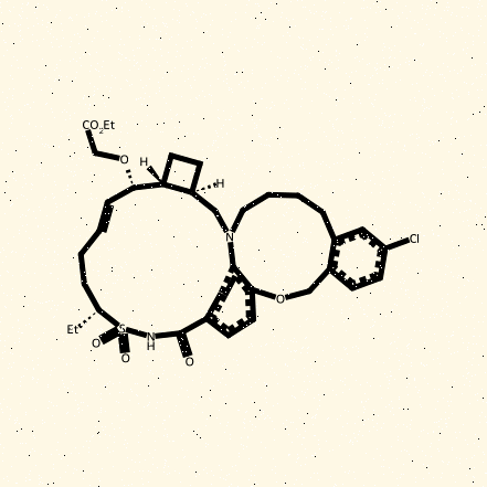 CCOC(=O)CO[C@H]1/C=C/CC[C@@H](CC)S(=O)(=O)NC(=O)c2ccc3c(c2)N(CCCCc2cc(Cl)ccc2CO3)C[C@@H]2CC[C@H]21